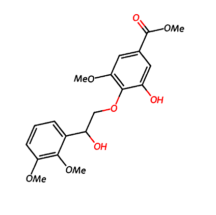 COC(=O)c1cc(O)c(OCC(O)c2cccc(OC)c2OC)c(OC)c1